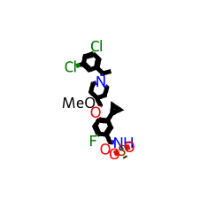 COC1(COc2cc(F)c(C(=O)NS(C)(=O)=O)cc2C2CC2)CCN(C(C)c2cc(Cl)cc(Cl)c2)CC1